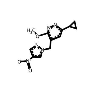 COc1nnc(C2CC2)cc1Cn1cc([N+](=O)[O-])cn1